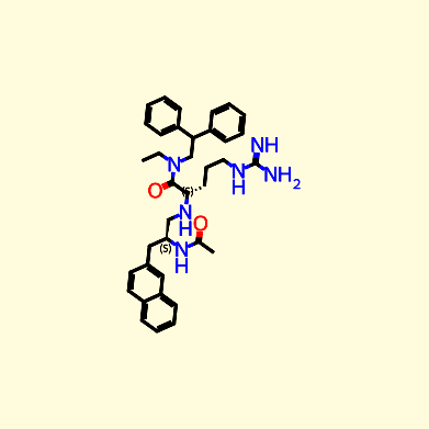 CCN(CC(c1ccccc1)c1ccccc1)C(=O)[C@H](CCCNC(=N)N)NC[C@H](Cc1ccc2ccccc2c1)NC(C)=O